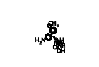 COc1cccc([C@]2(CCNS(=O)(=O)NC(=O)O)CC[C@@H](N)CC2)c1